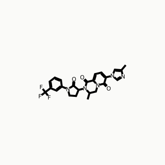 Cc1cn(-c2ccc3n(c2=O)CC(C)N(C2CCN(c4cccc(C(F)(F)F)c4)C2=O)C3=O)cn1